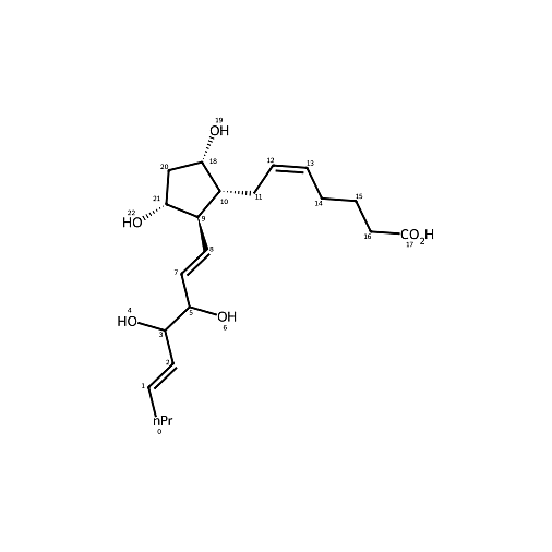 CCC/C=C/C(O)C(O)/C=C/[C@@H]1[C@@H](C/C=C\CCCC(=O)O)[C@@H](O)C[C@H]1O